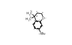 CC(C)(C)c1ccc2c(c1)OCCC2(C)C